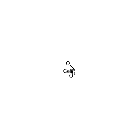 O=C[O-].[GeH3+]